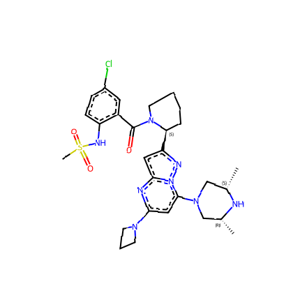 C[C@@H]1CN(c2cc(N3CCC3)nc3cc([C@@H]4CCCCN4C(=O)c4cc(Cl)ccc4NS(C)(=O)=O)nn23)C[C@H](C)N1